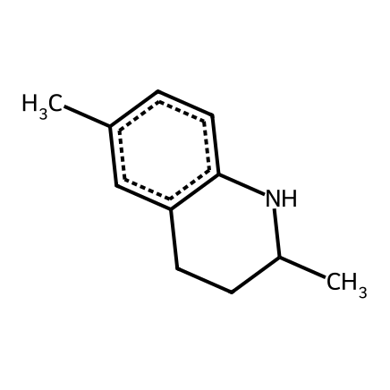 Cc1ccc2c(c1)CCC(C)N2